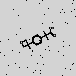 CC1(c2ccc(C(C)(C)C(=O)O)cc2)COC1